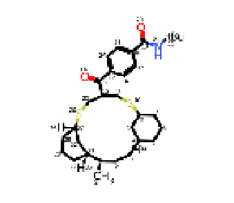 C[C@@H]1CC[C@@H]2CCCC(C2)SCC(C(=O)c2ccc(C(=O)NC(C)(C)C)cc2)CS[C@H]2CCC[C@@H]1C2